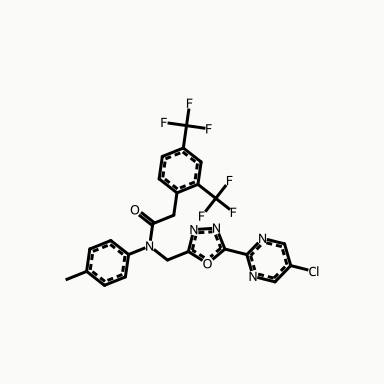 Cc1ccc(N(Cc2nnc(-c3ncc(Cl)cn3)o2)C(=O)Cc2ccc(C(F)(F)F)cc2C(F)(F)F)cc1